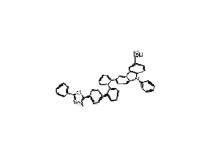 CC(C)(C)c1ccc2c(c1)c1cc(-c3ccccc3-c3ccccc3-c3ccc(-c4nnc(-c5ccccc5)o4)cc3)ccc1n2-c1ccccc1